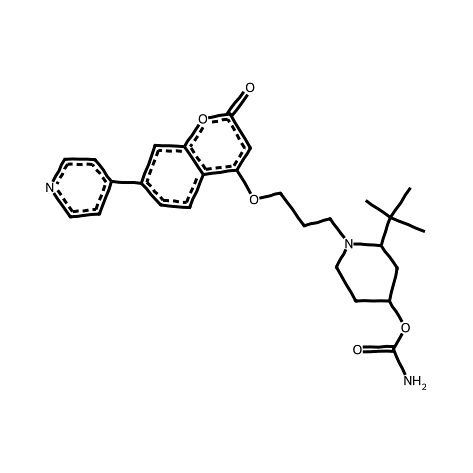 CC(C)(C)C1CC(OC(N)=O)CCN1CCCOc1cc(=O)oc2cc(-c3ccncc3)ccc12